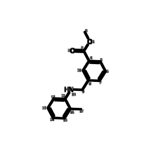 COC(=O)c1cccc(CNc2ccccc2C)c1